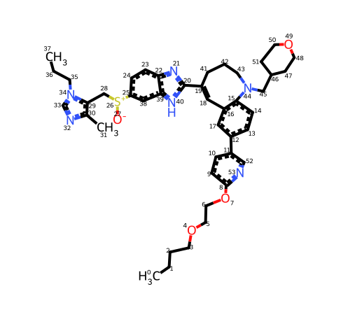 CCCCOCCOc1ccc(-c2ccc3c(c2)/C=C(/c2nc4ccc([S+]([O-])Cc5c(C)ncn5CCC)cc4[nH]2)CCCN3CC2CCOCC2)cn1